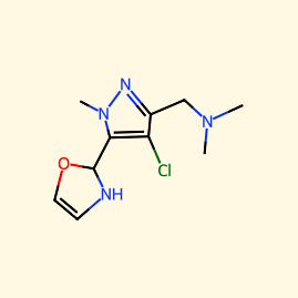 CN(C)Cc1nn(C)c(C2NC=CO2)c1Cl